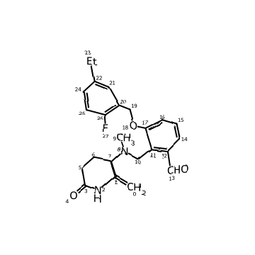 C=C1NC(=O)CCC1N(C)Cc1c(C=O)cccc1OCc1cc(CC)ccc1F